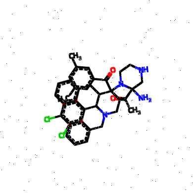 CC(=O)C1(N)CNCCN1C1(C(=O)c2cc(C)cc(C)c2)CCN(Cc2ccccc2)C(c2ccc(Cl)c(Cl)c2)C1Cc1ccccc1